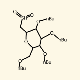 CCCCOCC1OC(C[SH](=O)=O)C(OCCCC)C(OCCCC)C1OCCCC